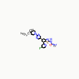 CCNC(=O)Nc1nc2cc(-c3cnc(N4CCC(C)(C(=O)O)CC4)nc3)cc(-c3cc(F)ccn3)c2s1